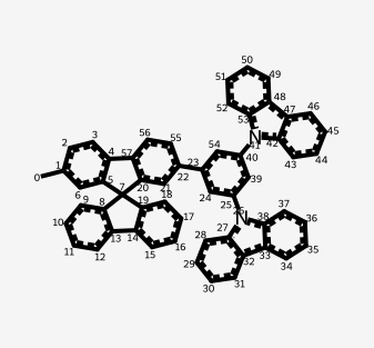 Cc1ccc2c(c1)C1(c3ccccc3-c3ccccc31)c1cc(-c3cc(-n4c5ccccc5c5ccccc54)cc(-n4c5ccccc5c5ccccc54)c3)ccc1-2